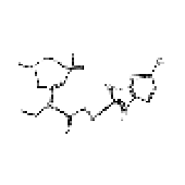 CCN(C(=O)COc1nc2ccc(Cl)cc2o1)C1=CC(C)(C)CC(C)C1